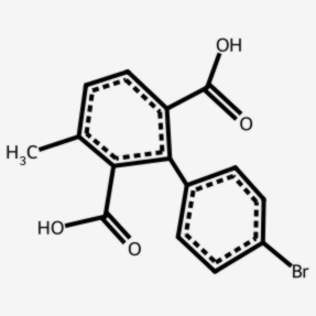 Cc1ccc(C(=O)O)c(-c2ccc(Br)cc2)c1C(=O)O